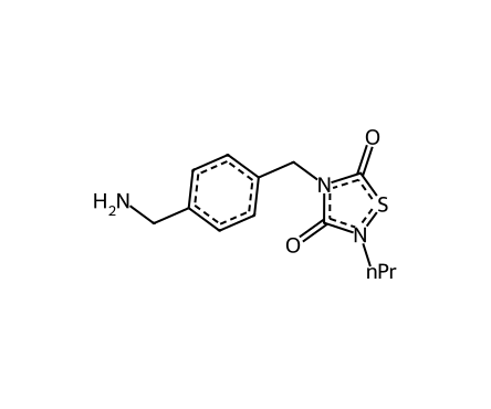 CCCn1sc(=O)n(Cc2ccc(CN)cc2)c1=O